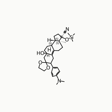 CN(C)c1ccc(C2CC3=C4CC[C@@]5(C)[C@@H](CC[C@@]5(C#N)O[Si](C)(C)C)[C@@H]4CC[C@@]3(O)CC23OCCO3)cc1